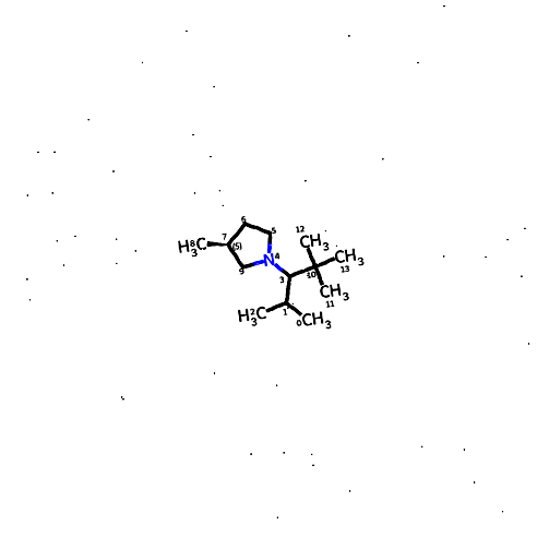 CC(C)C(N1CC[C@H](C)C1)C(C)(C)C